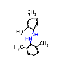 Cc1ccc(NNc2c(C)cccc2C)c(C)c1